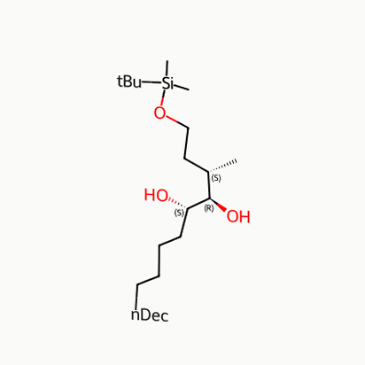 CCCCCCCCCCCCCC[C@H](O)[C@H](O)[C@@H](C)CCO[Si](C)(C)C(C)(C)C